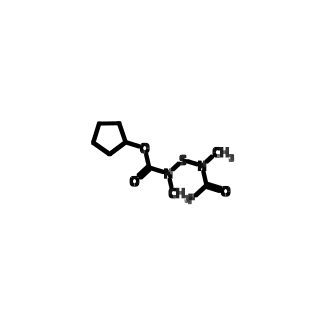 CN(SN(C)C(=O)OC1CCCC1)C(=O)F